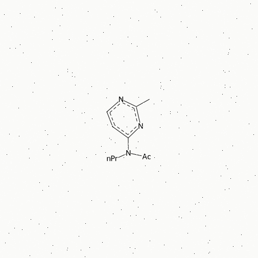 CCCN(C(C)=O)c1ccnc(C)n1